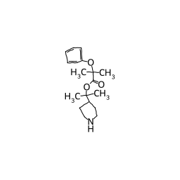 CC(C)(Oc1ccccc1)C(=O)OC(C)(C)C1CCNCC1